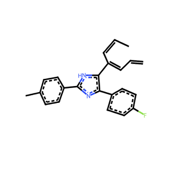 C=C/C=C(\C=C/C)c1[nH]c(-c2ccc(C)cc2)nc1-c1ccc(F)cc1